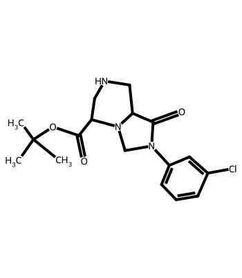 CC(C)(C)OC(=O)C1CNCC2C(=O)N(c3cccc(Cl)c3)CN12